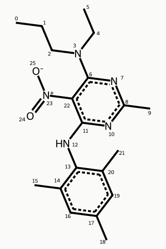 CCCN(CC)c1nc(C)nc(Nc2c(C)cc(C)cc2C)c1[N+](=O)[O-]